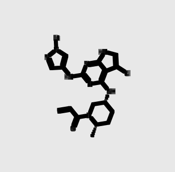 C=CC(=O)N1C[C@H](Nc2nc(Nc3cnn(CC)c3)nc3[nH]cc(Cl)c23)CC[C@@H]1C